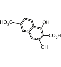 O=C(O)c1ccc2c(O)c(C(=O)O)c(O)cc2c1